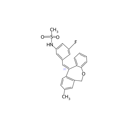 Cc1ccc2c(c1)COc1ccccc1/C2=C\c1cc(F)cc(NS(C)(=O)=O)c1